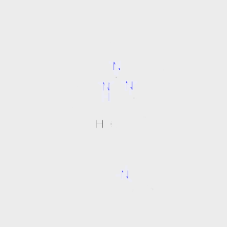 CC1(c2ccc3c(c2)c2ccccc2n3-c2ccccc2)C=Cc2c(n(C3=NC(c4ccccc4)=CC(c4ccccc4)N3)c3ccccc23)C1